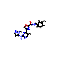 Cc1cnc(Nc2ccnn2C)nc1-c1coc(C(=O)NCc2cccc(C(C)C)c2)n1